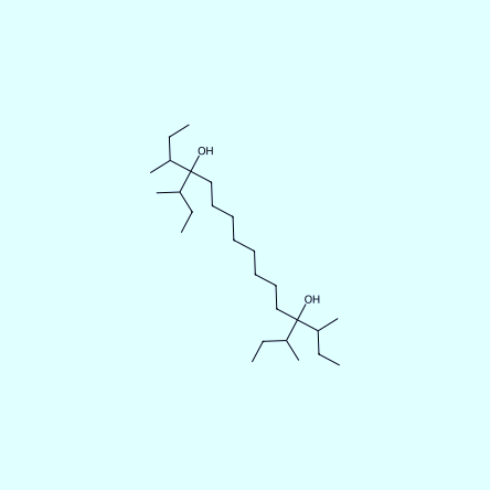 CCC(C)C(O)(CCCCCCCCC(O)(C(C)CC)C(C)CC)C(C)CC